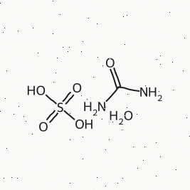 NC(N)=O.O.O=S(=O)(O)O